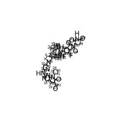 [2H]C1([2H])N(CC2CCN(c3ccc(Nc4ncc5c(C)c(C(C)=O)c(=O)n(C6CCCC6)c5n4)nc3)CC2)C([2H])([2H])C([2H])([2H])N(c2cc3c(c(F)c2F)C(=O)N(C2CCC(=O)NC2=O)C3=O)C1([2H])[2H]